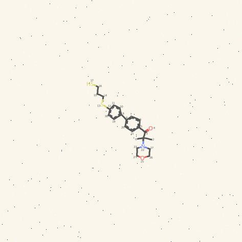 CC(C)(C(=O)c1ccc(-c2ccc(SCCCS)cc2)cc1)N1CCOCC1